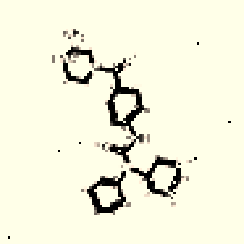 C[C@@H]1CN(C(=O)c2ccc(NC(=O)N(c3ccccc3)c3cncnc3)cc2)CCN1